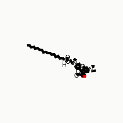 C=CN(CC)c1ccc2c(c1)Oc1cc(N(CC)CCOC(=O)NCCCCCCCCCCCCCCCCCC)ccc1C21OC(=O)c2ccccc21